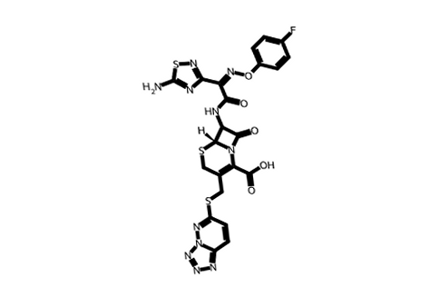 Nc1nc(/C(=N/Oc2ccc(F)cc2)C(=O)NC2C(=O)N3C(C(=O)O)=C(CSc4ccc5nnnn5n4)CS[C@H]23)ns1